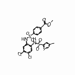 COC(=O)c1ccc(S(=O)(=O)Nc2cc(Cl)c(Cl)cc2NS(=O)(=O)c2cc(C)cs2)cc1